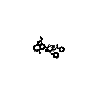 CCn1cc2c3c(cc(C(=O)N[C@@H](Cc4ccccc4)[C@H](O)CNC4CC=CC4)cc31)N(C)SCC2